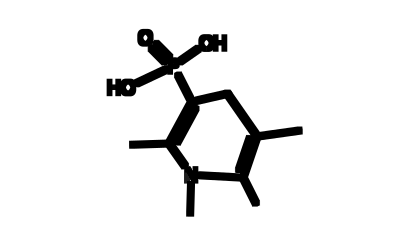 CC1=C(C)N(C)C(C)=C(P(=O)(O)O)C1